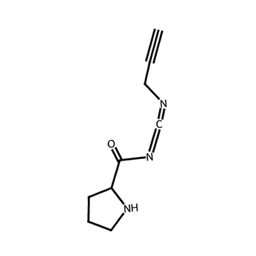 C#CCN=C=NC(=O)C1CCCN1